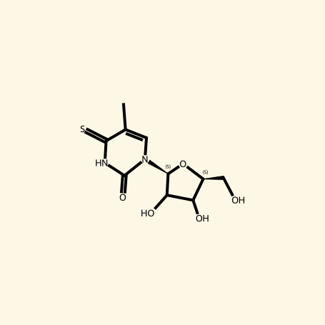 Cc1cn([C@H]2O[C@@H](CO)C(O)C2O)c(=O)[nH]c1=S